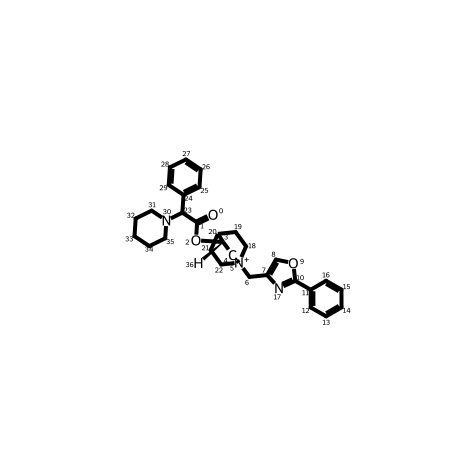 O=C(O[C@H]1C[N+]2(Cc3coc(-c4ccccc4)n3)CCC1CC2)C(c1ccccc1)N1CCCCC1